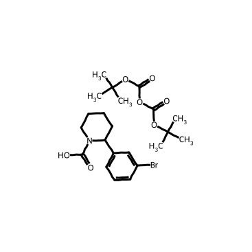 CC(C)(C)OC(=O)OC(=O)OC(C)(C)C.O=C(O)N1CCCCC1c1cccc(Br)c1